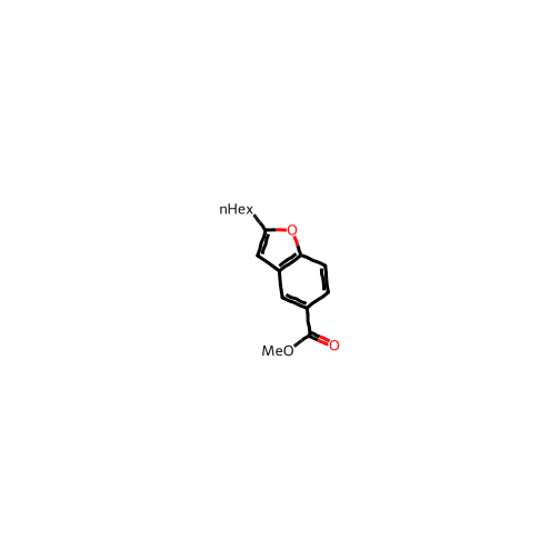 CCCCCCc1cc2cc(C(=O)OC)ccc2o1